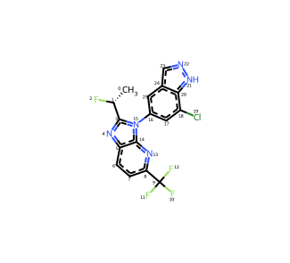 C[C@@H](F)c1nc2ccc(C(F)(F)F)nc2n1-c1cc(Cl)c2[nH]ncc2c1